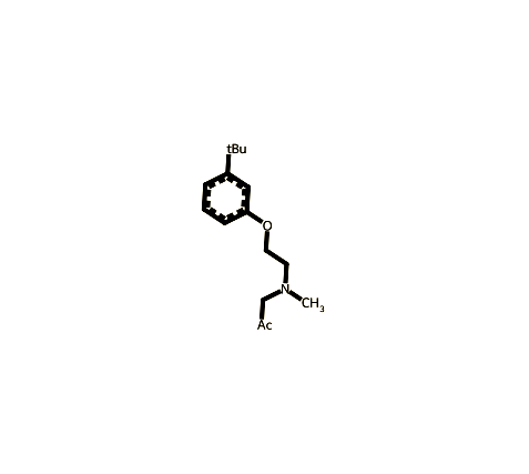 CC(=O)CN(C)CCOc1cccc(C(C)(C)C)c1